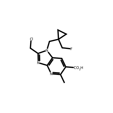 Cc1nc2nc(CCl)n(CC3(CF)CC3)c2cc1C(=O)O